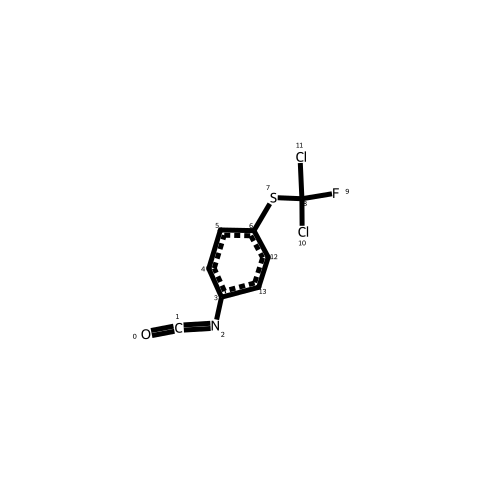 O=C=Nc1ccc(SC(F)(Cl)Cl)cc1